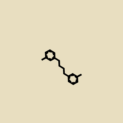 Cc1cccc(CCCCc2cccc(C)c2)c1